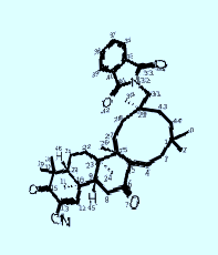 CC1(C)CCC2C(=O)C[C@@H]3[C@@]4(C)C=C(C#N)C(=O)C(C)(C)[C@@H]4CC[C@@]3(C)[C@]2(C)CC[C@@](C)(CN2C(=O)c3ccccc3C2=O)CC1